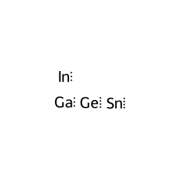 [Ga].[Ge].[In].[Sn]